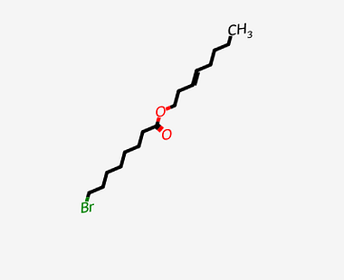 CCCCC=CCCOC(=O)CCCCCCCBr